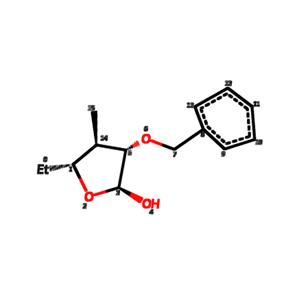 CC[C@H]1O[C@H](O)[C@@H](OCc2ccccc2)[C@@H]1C